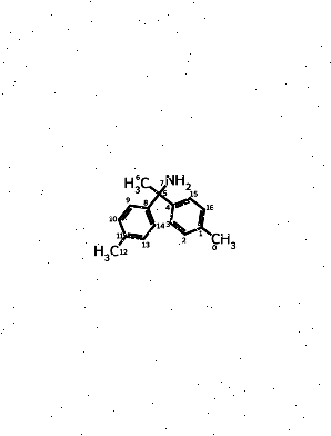 Cc1ccc(C(C)(N)c2ccc(C)cc2)cc1